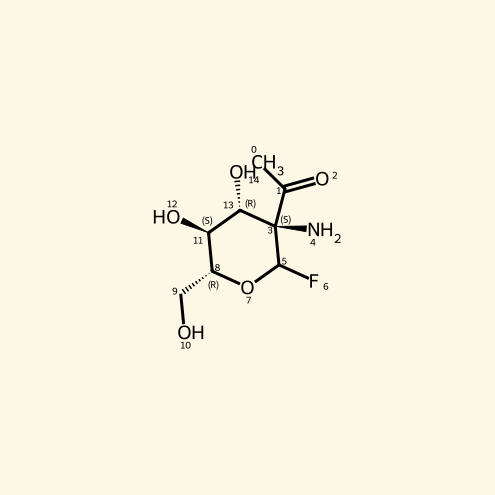 CC(=O)[C@]1(N)C(F)O[C@H](CO)[C@@H](O)[C@@H]1O